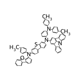 Cc1ccc(N(c2ccc(C)cc2)c2cccc(N(c3ccc4c(c3)sc3cc(N(c5ccc(C)cc5)c5cccc6c5oc5ccccc56)ccc34)c3cc4c5ccccc5n5c6ccccc6c(c3)c45)c2)cc1